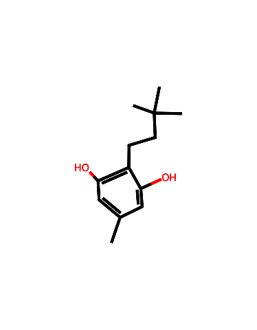 Cc1cc(O)c(CCC(C)(C)C)c(O)c1